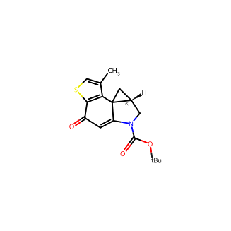 Cc1csc2c1C13C[C@@H]1CN(C(=O)OC(C)(C)C)C3=CC2=O